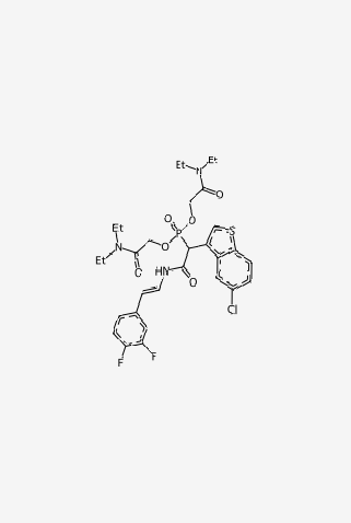 CCN(CC)C(=O)COP(=O)(OCC(=O)N(CC)CC)C(C(=O)N/C=C/c1ccc(F)c(F)c1)c1csc2ccc(Cl)cc12